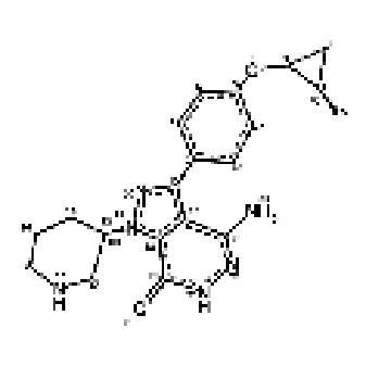 C[C@@H]1CC1Oc1ccc(-c2nn([C@@H]3CCCNC3)c3c(=O)[nH]nc(N)c23)cc1